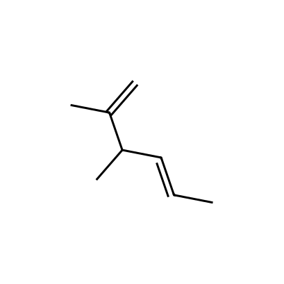 C=C(C)C(C)C=CC